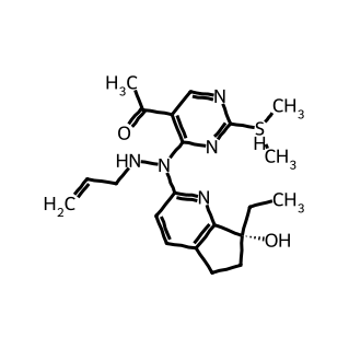 C=CCNN(c1ccc2c(n1)[C@@](O)(CC)CC2)c1nc([SH](C)C)ncc1C(C)=O